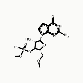 COC[C@H]1O[C@@H](n2ccc3c(=O)[nH]c(N)nc32)[C@@H](O)C1OP(=O)(S)OC